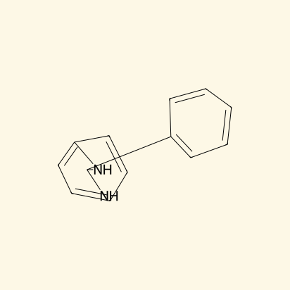 c1ccc(C2Nc3ccc(cc3)N2)cc1